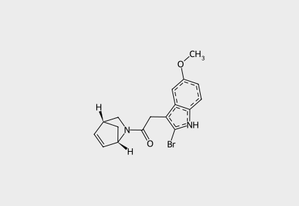 COc1ccc2[nH]c(Br)c(CC(=O)N3C[C@H]4C=C[C@@H]3C4)c2c1